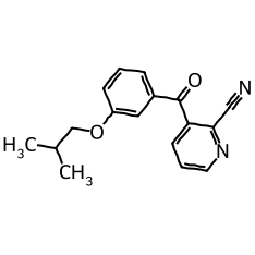 CC(C)COc1cccc(C(=O)c2cccnc2C#N)c1